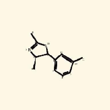 CC1=N[C@H](C)C(c2cccc(C)c2)S1